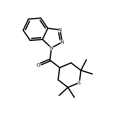 CC1(C)CC(C(=O)n2nnc3ccccc32)CC(C)(C)S1